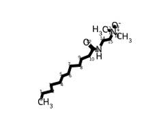 CCCCCCCCCCCC(=O)NCC[N+](C)(C)[O-]